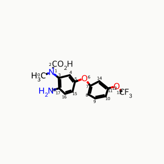 CN(C(=O)O)c1cc(Oc2cccc(OC(F)(F)F)c2)ccc1N